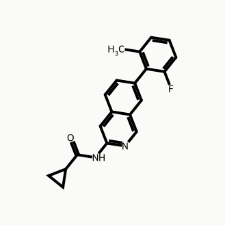 Cc1cccc(F)c1-c1ccc2cc(NC(=O)C3CC3)ncc2c1